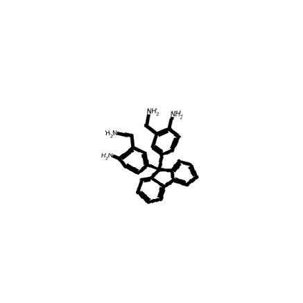 NCc1cc(C2(c3ccc(N)c(CN)c3)c3ccccc3-c3ccccc32)ccc1N